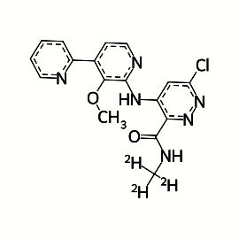 [2H]C([2H])([2H])NC(=O)c1nnc(Cl)cc1Nc1nccc(-c2ccccn2)c1OC